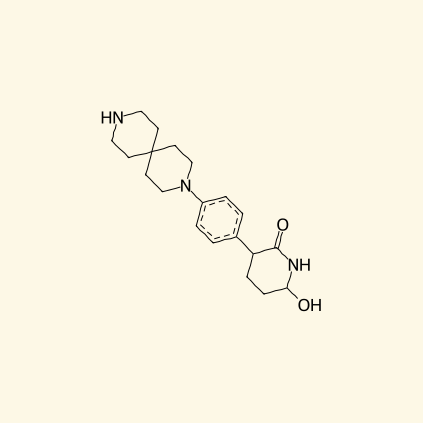 O=C1NC(O)CCC1c1ccc(N2CCC3(CCNCC3)CC2)cc1